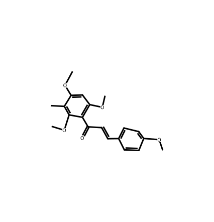 COc1ccc(C=CC(=O)c2c(OC)cc(OC)c(C)c2OC)cc1